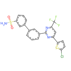 NS(=O)(=O)c1cccc(-c2cccc(-c3nc(-c4ccc(Cl)s4)cc(C(F)(F)F)n3)c2)c1